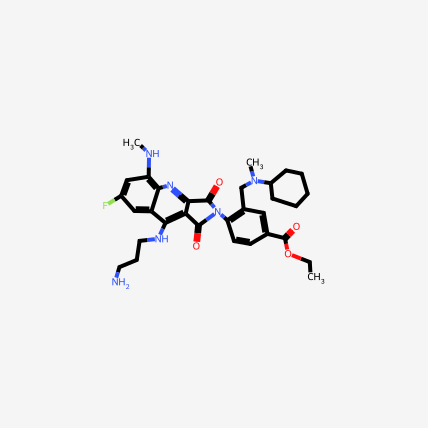 CCOC(=O)c1ccc(N2C(=O)c3nc4c(NC)cc(F)cc4c(NCCCN)c3C2=O)c(CN(C)C2CCCCC2)c1